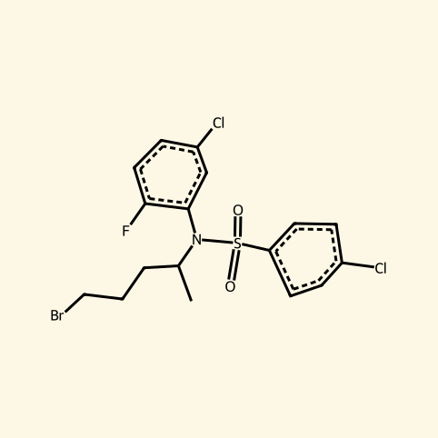 CC(CCCBr)N(c1cc(Cl)ccc1F)S(=O)(=O)c1ccc(Cl)cc1